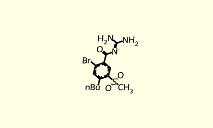 CCCCc1cc(Br)c(C(=O)N=C(N)N)cc1S(C)(=O)=O